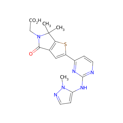 Cn1nccc1Nc1nccc(-c2cc3c(s2)C(C)(C)N(CC(=O)O)C3=O)n1